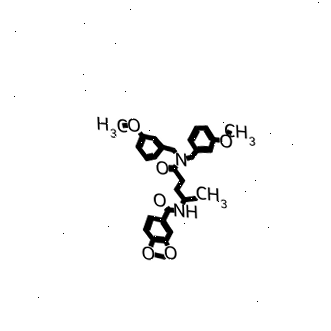 CCC(CCC(=O)N(Cc1cccc(OC)c1)Cc1cccc(OC)c1)NC(=O)c1ccc2c(c1)OCO2